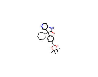 CC1(C)OB(c2ccc(C3(C4CCCCCC4)C(=O)Nc4ccncc43)cc2)OC1(C)C